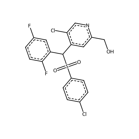 O=S(=O)(c1ccc(Cl)cc1)C(c1cc(F)ccc1F)c1cc(CO)ncc1Cl